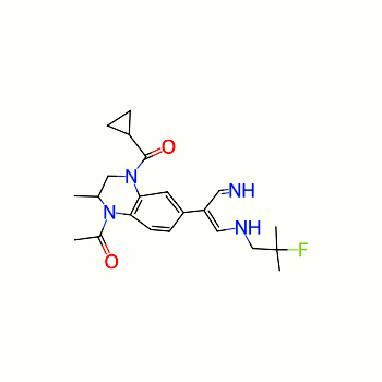 CC(=O)N1c2ccc(/C(C=N)=C/NCC(C)(C)F)cc2N(C(=O)C2CC2)CC1C